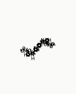 COC(=O)N[C@@H](C)C(=O)N1CCC[C@H]1C1=NC(c2cnc(-c3ccc(-c4cnc([C@@H]5CCCN5C(=O)[C@H](C)NC(=O)OC)[nH]4)cc3)nc2)CN1